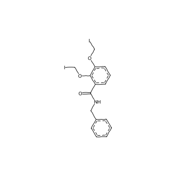 O=C(NCc1ccccc1)c1cccc(OCI)c1OCI